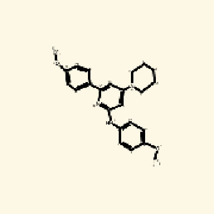 FC(F)(F)Oc1ccc(Nc2cc(N3CCCCC3)cc(-c3ccc(OC(F)(F)F)cc3)n2)cc1